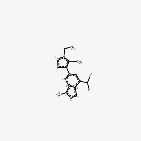 CCn1ncc(-c2cc(C(F)F)c3cnn(C)c3n2)c1C